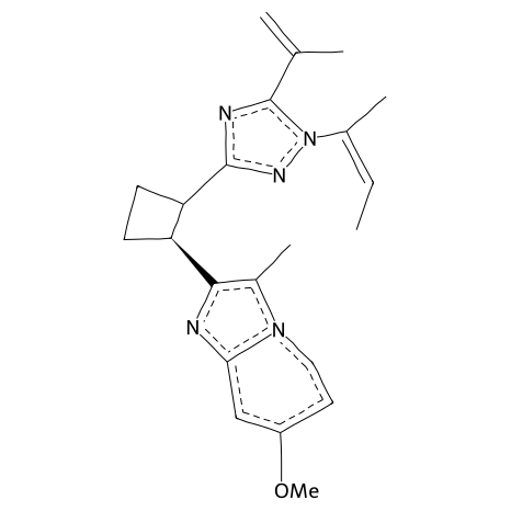 C=C(C)c1nc(C2CC[C@@H]2c2nc3cc(OC)ccn3c2C)nn1/C(C)=C\C